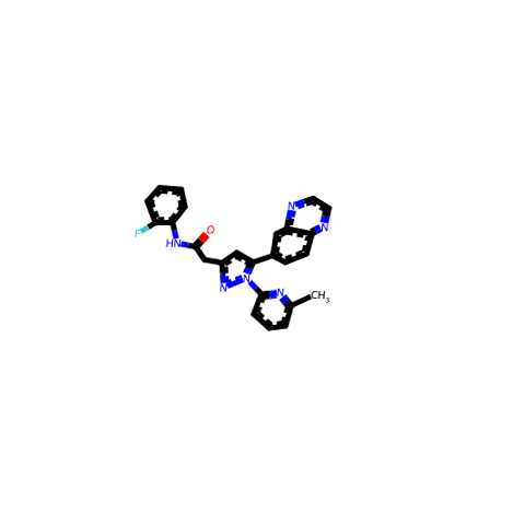 Cc1cccc(-n2nc(CC(=O)Nc3ccccc3F)cc2-c2ccc3nccnc3c2)n1